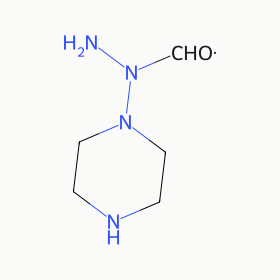 NN([C]=O)N1CCNCC1